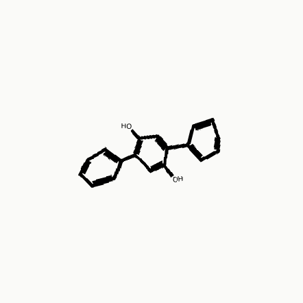 Oc1cc(-c2ccccc2)c(O)cc1-c1ccccc1